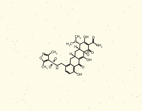 Cc1noc(C)c1S(=O)(=O)NCc1ccc(O)c2c1C[C@@H]1C[C@@H]3[C@@H](N(C)C)C(O)=C(C(N)=O)C(=O)[C@]3(O)C(O)=C1C2=O